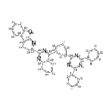 c1ccc(-c2nc(-c3ccccc3)nc(-c3cccc(-c4nc(-c5ccc6c(n5)oc5ccccc56)nc5ccccc45)c3)n2)cc1